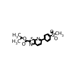 CC(C)OC(=O)c1nc2ccc(-c3ccc(S(C)(=O)=O)cc3)nc2s1